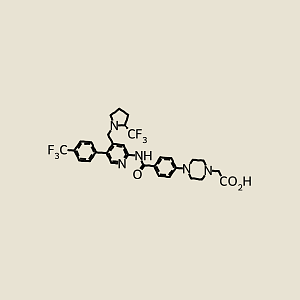 O=C(O)CN1CCN(c2ccc(C(=O)Nc3cc(CN4CCC[C@H]4C(F)(F)F)c(-c4ccc(C(F)(F)F)cc4)cn3)cc2)CC1